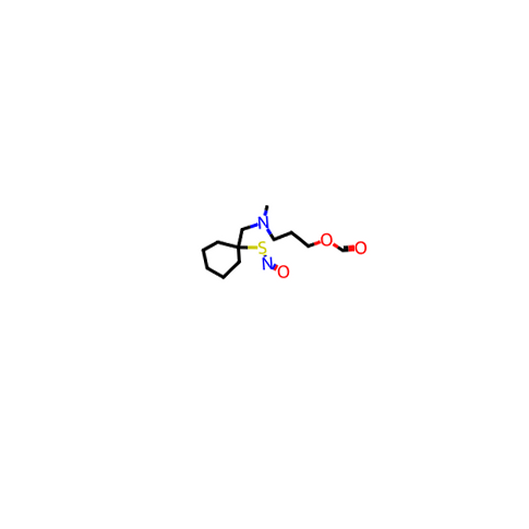 CN(CCCOC=O)CC1(SN=O)CCCCC1